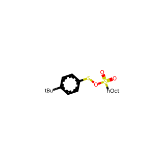 CCCCCCCCS(=O)(=O)OSc1ccc(C(C)(C)C)cc1